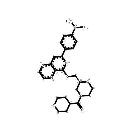 CN(C)c1ccc(-c2cc3nccnc3c(OC[C@@H]3CN(C(=O)C4CCOCC4)CCO3)n2)cc1